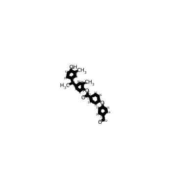 Cc1cc(C(C)c2ccc(OC(=O)c3ccc(Oc4ccc(C=O)cc4)cc3)c(C)c2)ccc1O